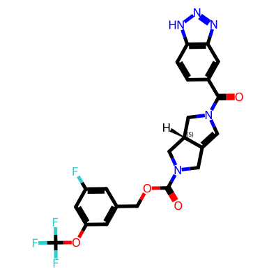 O=C(c1ccc2[nH]nnc2c1)N1C=C2CN(C(=O)OCc3cc(F)cc(OC(F)(F)F)c3)C[C@@H]2C1